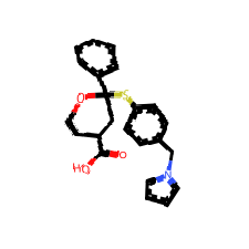 O=C(O)C1CCOC(Sc2ccc(Cn3cccc3)cc2)(c2ccccc2)C1